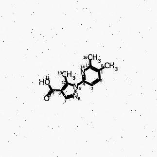 Cc1ccc(-n2ncc(C(=O)O)c2C)nc1C